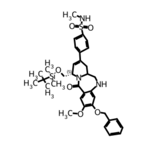 CNS(=O)(=O)c1ccc(C2=C[C@@H](CO[Si](C)(C)C(C)(C)C)N3C(=O)c4cc(OC)c(OCc5ccccc5)cc4NCC3C2)cc1